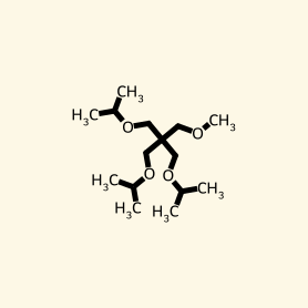 COCC(COC(C)C)(COC(C)C)COC(C)C